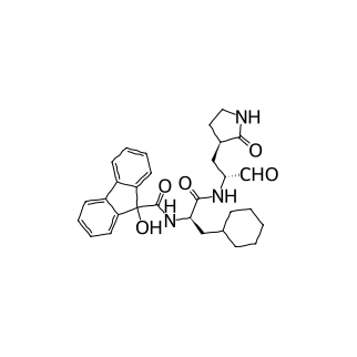 O=C[C@@H](C[C@H]1CCNC1=O)NC(=O)[C@@H](CC1CCCCC1)NC(=O)C1(O)c2ccccc2-c2ccccc21